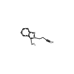 C#CCCn1nc2ccccc2c1[SiH3]